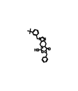 CC(C)(C)c1cccc(Cn2cnc3c2CN(C(=O)O)C(C(=O)OCc2ccccc2)C3)c1